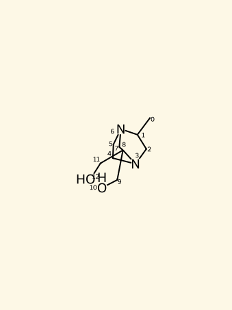 CC1CN2CCN1CC2(CO)CO